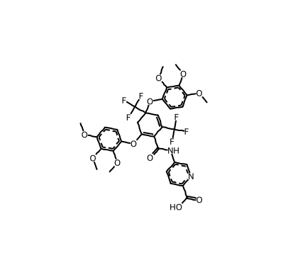 COc1ccc(OC2=C(C(=O)Nc3ccc(C(=O)O)nc3)C(C(F)(F)F)=CC(Oc3ccc(OC)c(OC)c3OC)(C(F)(F)F)C2)c(OC)c1OC